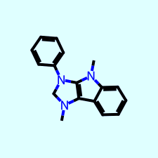 CN1CN(c2ccccc2)c2c1c1ccccc1n2C